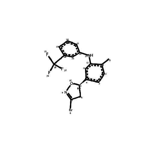 Cc1ccc([C@H]2CC(Br)=NO2)cc1Nc1cccc(C(F)(F)F)c1